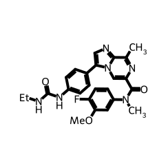 CCNC(=O)Nc1ccc(-c2cnc3c(C)nc(C(=O)N(C)c4ccc(F)c(OC)c4)cn23)cc1